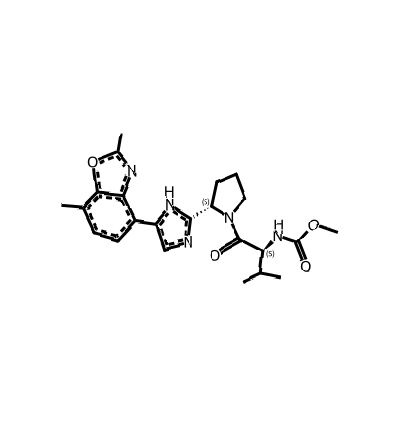 COC(=O)N[C@H](C(=O)N1CCC[C@H]1c1ncc(-c2ccc(C)c3oc(C)nc23)[nH]1)C(C)C